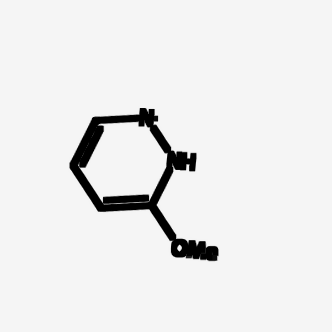 COC1=CC=C[N]N1